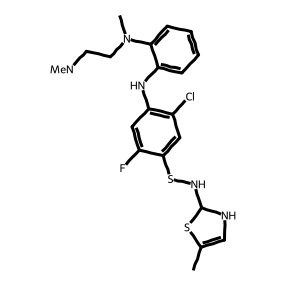 CNCCN(C)c1ccccc1Nc1cc(F)c(SNC2NC=C(C)S2)cc1Cl